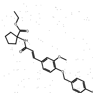 CCOC(=O)C1(NC(=O)C=Cc2ccc(OCc3ccc(F)cc3)c(OC)c2)CCCC1